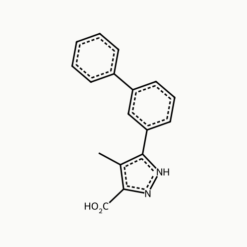 Cc1c(C(=O)O)n[nH]c1-c1cccc(-c2ccccc2)c1